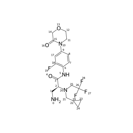 NC[C@@H](C(=O)Nc1ccc(N2CCOCC2=O)cc1F)N(CC1CC1)CC(F)(F)F